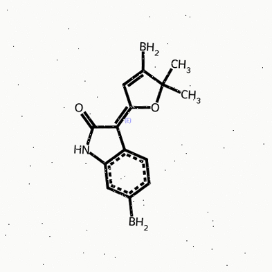 BC1=C/C(=C2\C(=O)Nc3cc(B)ccc32)OC1(C)C